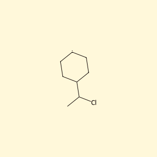 CC(Cl)C1CC[CH]CC1